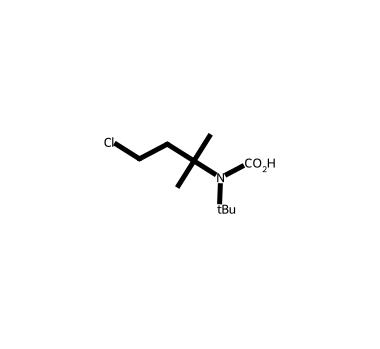 CC(C)(C)N(C(=O)O)C(C)(C)CCCl